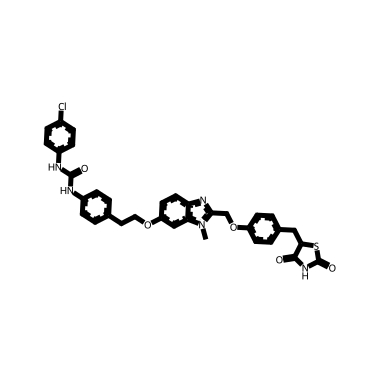 Cn1c(COc2ccc(CC3SC(=O)NC3=O)cc2)nc2ccc(OCCc3ccc(NC(=O)Nc4ccc(Cl)cc4)cc3)cc21